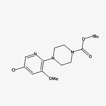 COc1cc(Cl)cnc1N1CCN(C(=O)OC(C)(C)C)CC1